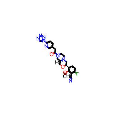 COc1c([C@@H]2CN3CCN(C(=O)Cc4ccc(-n5cnnn5)nc4)C[C@H]3CO2)ccc(F)c1C#N